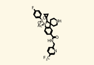 CC(=O)[N+]1(S(=O)(=O)c2ccc(F)cc2)c2ccc(C(=O)NCc3ccc(C(F)(F)F)cn3)cc2C2(CCNCC2)C1C1CC1